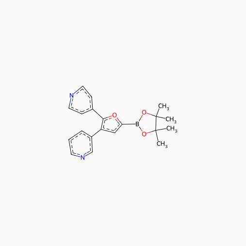 CC1(C)OB(c2cc(-c3cccnc3)c(-c3ccncc3)o2)OC1(C)C